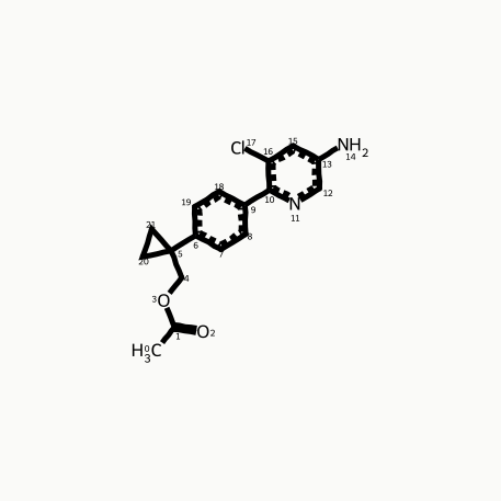 CC(=O)OCC1(c2ccc(-c3ncc(N)cc3Cl)cc2)CC1